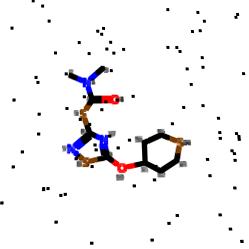 CN(C)C(=O)Sc1nsc(OC2CCSCC2)n1